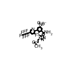 C[S+]([O-])CCn1nnnc1Sc1c(C(N)=O)cc([N+](=O)[O-])cc1-c1ncc(C(F)(F)C(F)(F)C(F)(F)F)cc1F